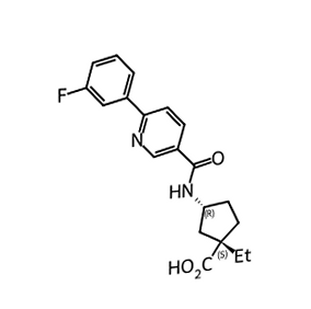 CC[C@]1(C(=O)O)CC[C@@H](NC(=O)c2ccc(-c3cccc(F)c3)nc2)C1